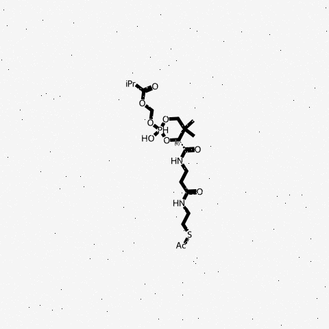 CC(=O)SCCNC(=O)CCNC(=O)[C@@H]1O[PH](O)(OCOC(=O)C(C)C)OCC1(C)C